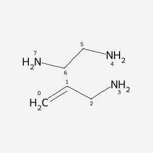 C=CCN.NCCN